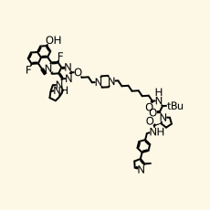 C#Cc1c(F)ccc2cc(O)cc(-c3ncc4c(N5CC6CCC(C5)N6)nc(OCCCN5CCN(CCCCCCCC(=O)NC(C(=O)N6CCC[C@H]6C(=O)NCc6ccc(C7=C(C)N=CC7)cc6)C(C)(C)C)CC5)nc4c3F)c12